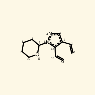 C=Cc1cnn(C2CCCCO2)c1C=C